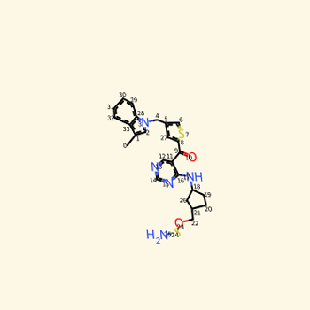 Cc1cn(Cc2csc(C(=O)c3cncnc3NC3CCC(COSN)C3)c2)c2ccccc12